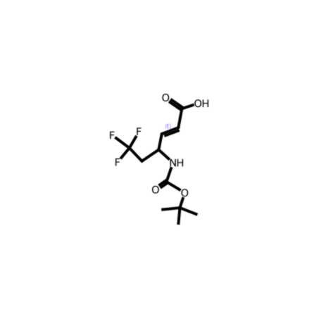 CC(C)(C)OC(=O)NC(/C=C/C(=O)O)CC(F)(F)F